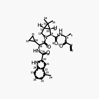 C=CC(=O)[C@H](C)NC(=O)[C@@H]1[C@@H]2[C@H](CN1C(=O)[C@@H](NC(=O)c1cc3c(C)cccc3[nH]1)C1CC1)C2(C)C